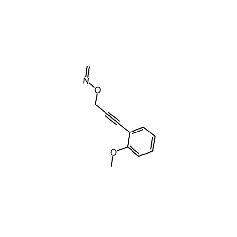 C=NOCC#Cc1ccccc1OC